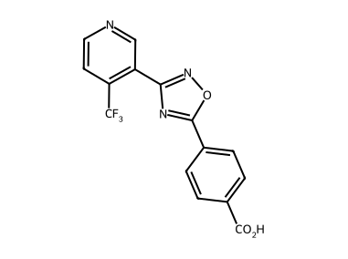 O=C(O)c1ccc(-c2nc(-c3cnccc3C(F)(F)F)no2)cc1